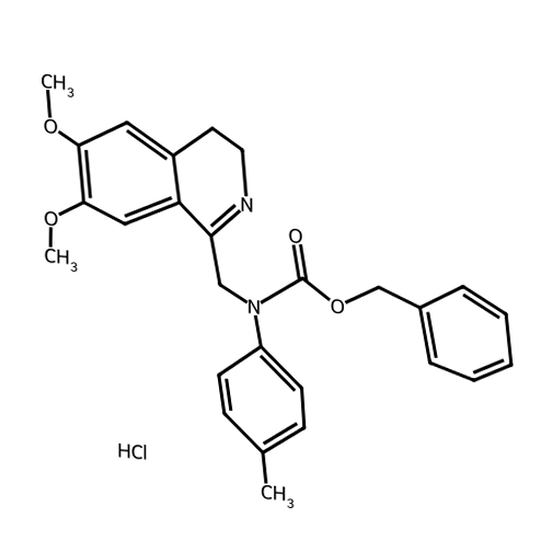 COc1cc2c(cc1OC)C(CN(C(=O)OCc1ccccc1)c1ccc(C)cc1)=NCC2.Cl